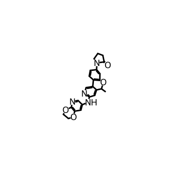 CC1Oc2cc(N3CCCC3=O)ccc2-c2cnc(Nc3cnc4c(c3)OCCO4)cc21